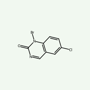 O=c1ncc2cc(Cl)ccc2n1Br